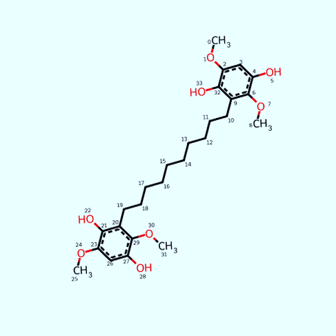 COc1cc(O)c(OC)c(CCCCCCCCCCc2c(O)c(OC)cc(O)c2OC)c1O